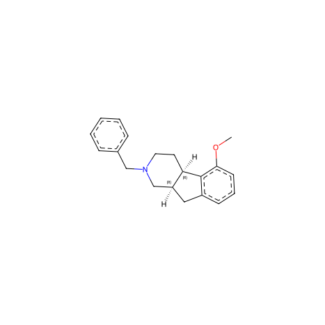 COc1cccc2c1[C@@H]1CCN(Cc3ccccc3)C[C@@H]1C2